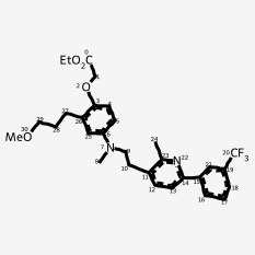 CCOC(=O)COc1ccc(N(C)CCc2ccc(-c3cccc(C(F)(F)F)c3)nc2C)cc1CCCOC